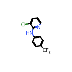 FC(F)(F)c1ccc(Nc2ncccc2Cl)cc1